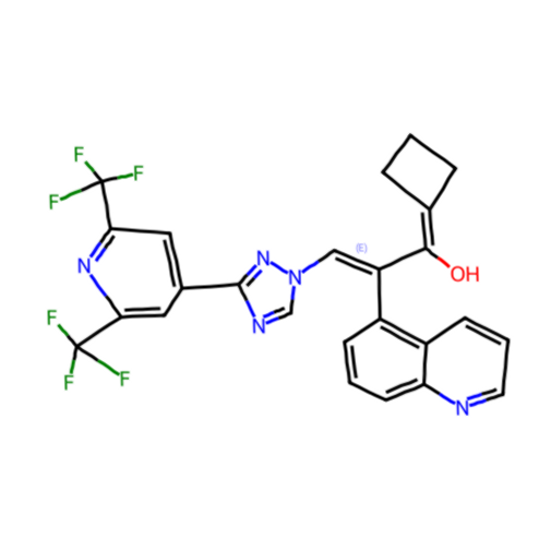 OC(=C1CCC1)/C(=C/n1cnc(-c2cc(C(F)(F)F)nc(C(F)(F)F)c2)n1)c1cccc2ncccc12